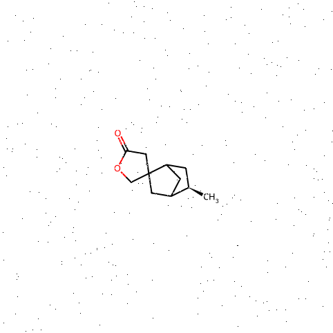 C[C@@H]1CC2CC1CC21COC(=O)C1